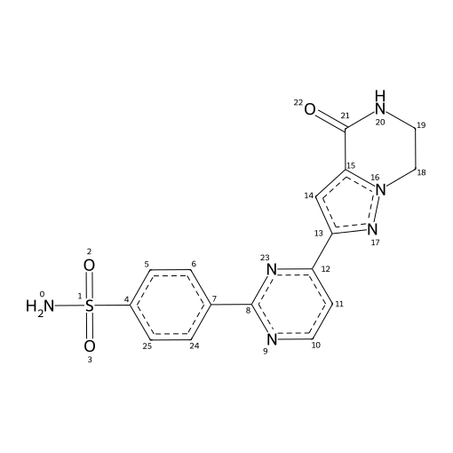 NS(=O)(=O)c1ccc(-c2nccc(-c3cc4n(n3)CCNC4=O)n2)cc1